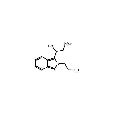 CNCC(O)c1c2ccccc2nn1CCO